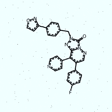 O=c1n(Cc2ccc(-c3ccon3)cc2)nc2c(-c3ccncc3)c(-c3ccc(F)cc3)cnn12